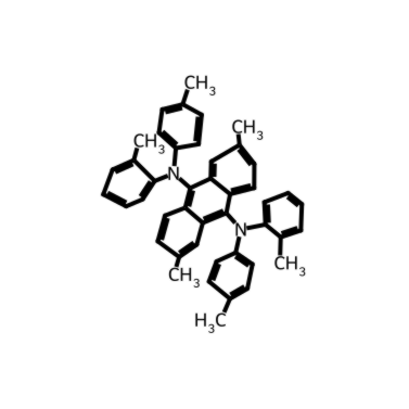 Cc1ccc(N(c2ccccc2C)c2c3ccc(C)cc3c(N(c3ccc(C)cc3)c3ccccc3C)c3ccc(C)cc23)cc1